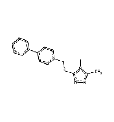 Cn1c(SCc2ccc(-c3ccccc3)cc2)nnc1C(F)(F)F